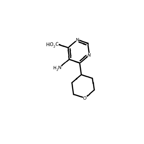 Nc1c(C(=O)O)ncnc1C1CCOCC1